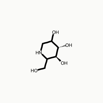 OCC1NCC(O)[C@H](O)[C@H]1O